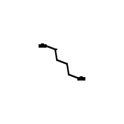 C[CH]CC[CH]CCCCCCC